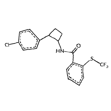 O=C(NC1CCC1c1ccc(Cl)cc1)c1ccccc1SC(F)(F)F